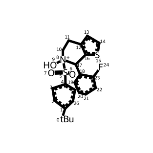 CC(C)(C)c1ccc(S(=O)(=O)[N+]2(O)CCc3ccsc3C2c2ccccc2F)cc1